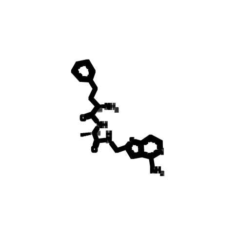 C[C@H](NC(=O)[C@H](N)CCc1ccccc1)C(=O)NCc1cc2c(N)nccc2s1